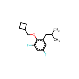 CC(C)Cc1cc(F)cc(F)c1OCC1CCC1